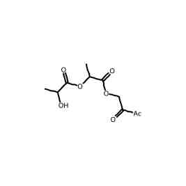 CC(=O)C(=O)COC(=O)C(C)OC(=O)C(C)O